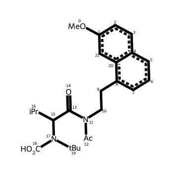 COc1ccc2cccc(CCN(C(C)=O)C(=O)C(C(C)C)N(C(=O)O)C(C)(C)C)c2c1